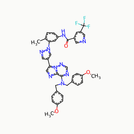 COc1ccc(CN(Cc2ccc(OC)cc2)c2ncnn3c(-c4cnn(-c5cc(NC(=O)c6cncc(C(F)(F)F)c6)ccc5C)c4)cnc23)cc1